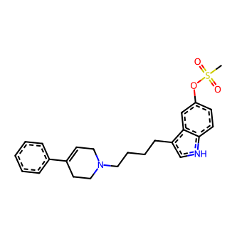 CS(=O)(=O)Oc1ccc2[nH]cc(CCCCN3CC=C(c4ccccc4)CC3)c2c1